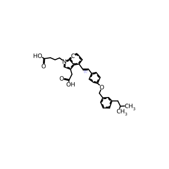 CC(C)Cc1cccc(COc2ccc(/C=C/c3cccc4c3c(CC(=O)O)cn4CCCC(=O)O)cc2)c1